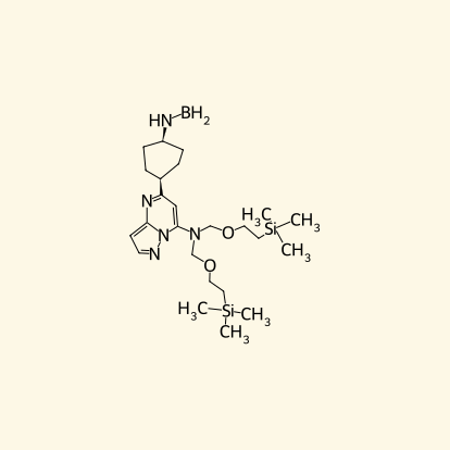 BN[C@H]1CC[C@@H](c2cc(N(COCC[Si](C)(C)C)COCC[Si](C)(C)C)n3nccc3n2)CC1